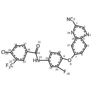 N#Cc1cnc2ccc(Oc3ccc(NC(=O)c4ccc(Cl)c(C(F)(F)F)c4)cc3F)cc2n1